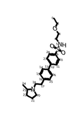 CCOCCNS(=O)(=O)c1ccc(-c2ccc(CCN3CCCC3C)cc2)cc1